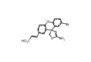 NC1=N[C@@]2(CO1)c1cc(Br)ccc1Oc1ccc(C=CC(=O)O)cc12